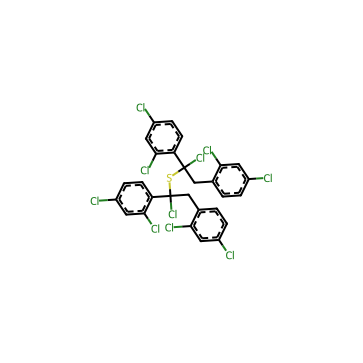 Clc1ccc(CC(Cl)(SC(Cl)(Cc2ccc(Cl)cc2Cl)c2ccc(Cl)cc2Cl)c2ccc(Cl)cc2Cl)c(Cl)c1